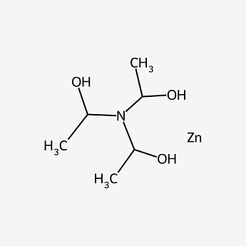 CC(O)N(C(C)O)C(C)O.[Zn]